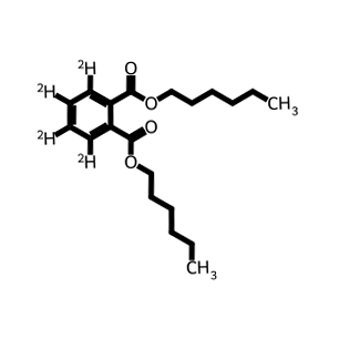 [2H]c1c([2H])c([2H])c(C(=O)OCCCCCC)c(C(=O)OCCCCCC)c1[2H]